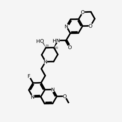 COc1ccc2ncc(F)c(CCN3CC[C@H](NC(=O)c4cc5c(cn4)OCCO5)[C@@H](O)C3)c2n1